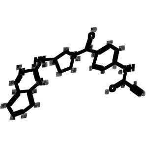 C#CC(=O)Nc1ccc(C(=O)N2CCC(Nc3ncc4ccccc4n3)C2)cc1